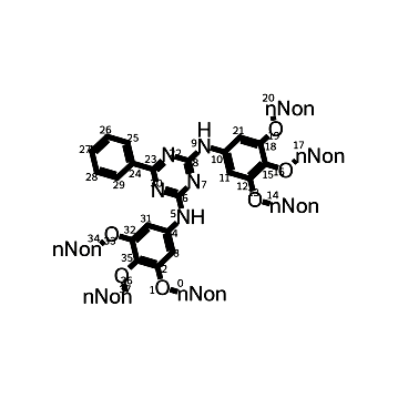 CCCCCCCCCOc1cc(Nc2nc(Nc3cc(OCCCCCCCCC)c(OCCCCCCCCC)c(OCCCCCCCCC)c3)nc(-c3cc[c]cc3)n2)cc(OCCCCCCCCC)c1OCCCCCCCCC